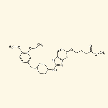 CCOc1cc(CN2CCC(Nc3nc4cc(OCCCC(=O)OC)ccc4o3)CC2)ccc1OC